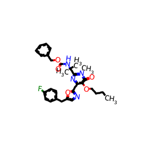 CCCCOc1c(-c2ncc(Cc3ccc(F)cc3)o2)nc(C(C)(C)NC(=O)OCc2ccccc2)n(C)c1=O